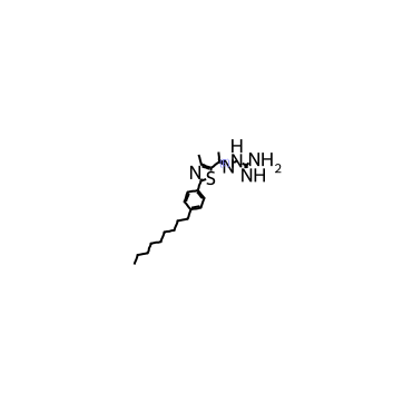 CCCCCCCCCc1ccc(-c2nc(C)c(/C(C)=N/NC(=N)N)s2)cc1